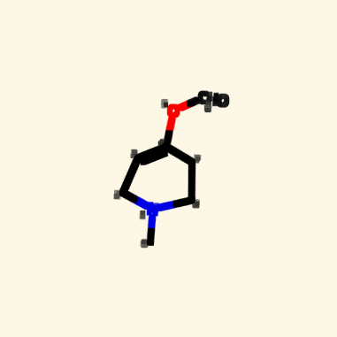 CN1CC=C(OC=O)CC1